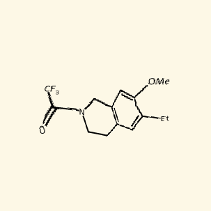 CCc1cc2c(cc1OC)CN(C(=O)C(F)(F)F)CC2